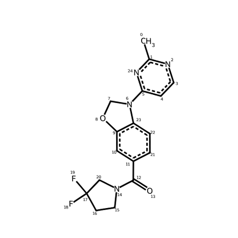 Cc1nccc(N2COc3cc(C(=O)N4CCC(F)(F)C4)ccc32)n1